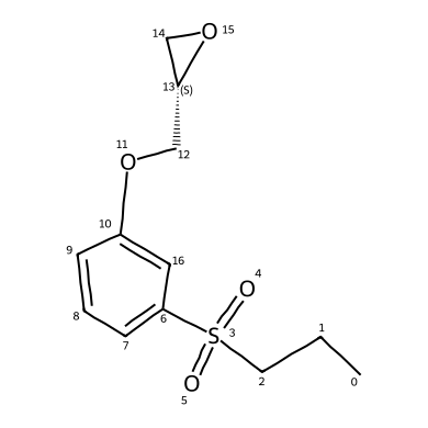 CCCS(=O)(=O)c1cccc(OC[C@@H]2CO2)c1